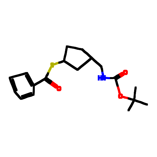 CC(C)(C)OC(=O)NCC1CCC(SC(=O)c2ccccc2)C1